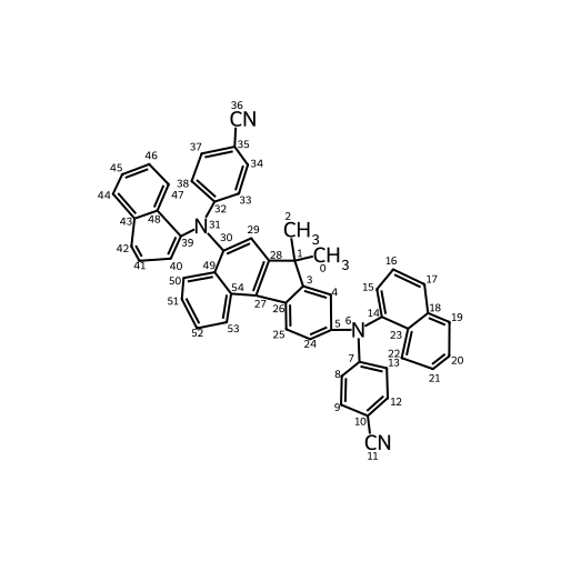 CC1(C)c2cc(N(c3ccc(C#N)cc3)c3cccc4ccccc34)ccc2-c2c1cc(N(c1ccc(C#N)cc1)c1cccc3ccccc13)c1ccccc21